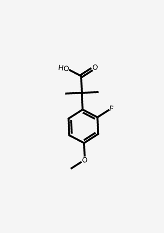 COc1ccc(C(C)(C)C(=O)O)c(F)c1